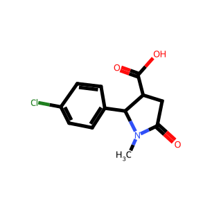 CN1C(=O)CC(C(=O)O)C1c1ccc(Cl)cc1